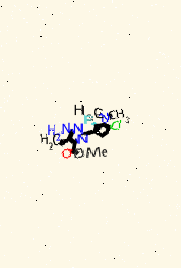 C=Cc1c(N)nc(-c2ccc(Cl)c(N(C)C)c2F)nc1C(=O)OC